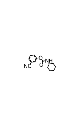 N#Cc1cccc(OC(=O)NC2CCCCC2)c1